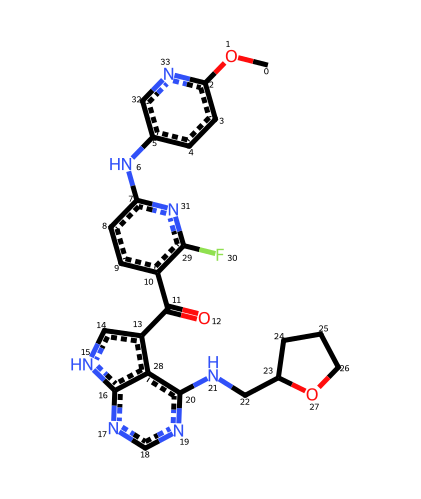 COc1ccc(Nc2ccc(C(=O)c3c[nH]c4ncnc(NCC5CCCO5)c34)c(F)n2)cn1